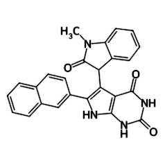 CN1C(=O)C(c2c(-c3ccc4ccccc4c3)[nH]c3[nH]c(=O)[nH]c(=O)c23)c2ccccc21